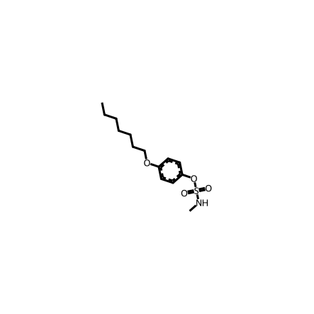 CCCCCCCOc1ccc(OS(=O)(=O)NC)cc1